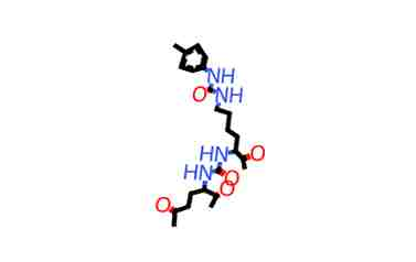 CC(=O)CCC(NC(=O)NC(CCCCNC(=O)Nc1ccc(C)cc1)C(C)=O)C(C)=O